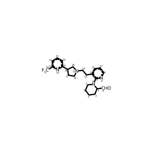 O=CC1CCCCN1c1ncccc1CCN1CCC(c2cccc(C(F)(F)F)n2)C1